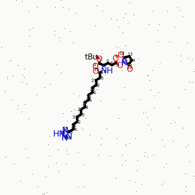 CC(C)(C)OC(=O)C(CCC(=O)ON1C(=O)CCC1=O)NC(=O)CCCCCCCCCCCCCCCc1nn[nH]n1